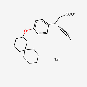 CC#C[C@@H](CC(=O)[O-])c1ccc(OC2CCCC3(CCCCC3)C2)cc1.[Na+]